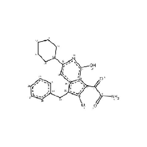 CCc1c(C(=O)C(N)=O)c2c(O)nc(C3CCCCC3)cn2c1Cc1ccccc1